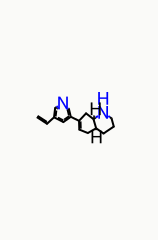 C=Cc1cncc(C2=CC[C@H]3CCCN[C@H]3C2)c1